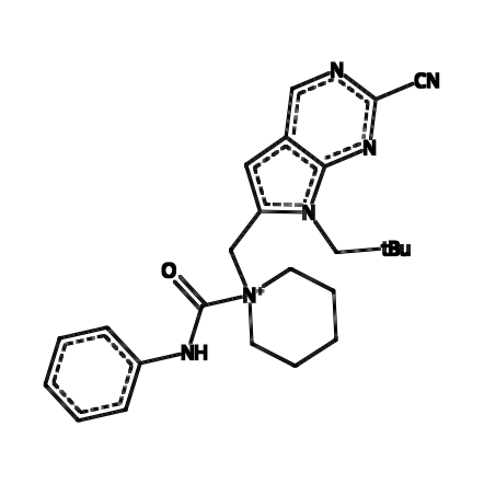 CC(C)(C)Cn1c(C[N+]2(C(=O)Nc3ccccc3)CCCCC2)cc2cnc(C#N)nc21